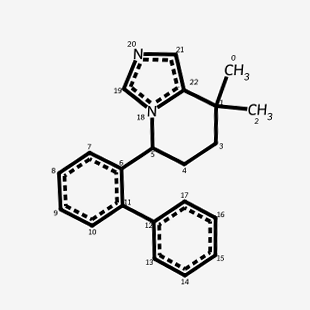 CC1(C)CCC(c2ccccc2-c2ccccc2)n2cncc21